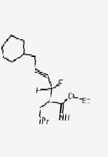 CCOC(=N)C(CC(C)C)C(F)(F)/C=C/CC1CCCCC1